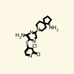 Nc1nc(N2CCC3(CCC[C@H]3N)CC2)cnc1SC1=CC=NC(=O)C1Cl